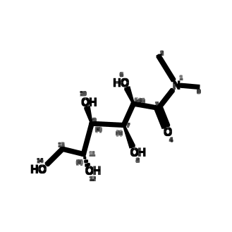 CN(C)C(=O)[C@H](O)[C@@H](O)[C@H](O)[C@H](O)CO